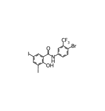 O=C(Nc1ccc(Br)c(C(F)(F)F)c1)c1cc(I)cc(I)c1O